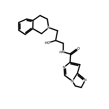 O=C(NCC(O)CN1CCc2ccccc2C1)C1=CC2=NCCN2C=N1